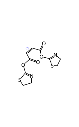 O=C(/C=C\C(=O)OC1=NCCS1)OC1=NCCS1